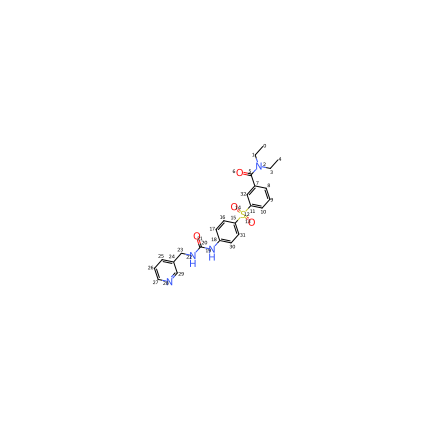 CCN(CC)C(=O)c1cccc(S(=O)(=O)c2ccc(NC(=O)NCc3cccnc3)cc2)c1